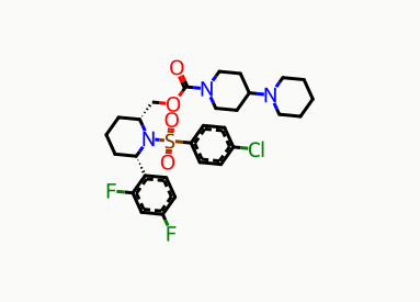 O=C(OC[C@H]1CCC[C@@H](c2ccc(F)cc2F)N1S(=O)(=O)c1ccc(Cl)cc1)N1CCC(N2CCCCC2)CC1